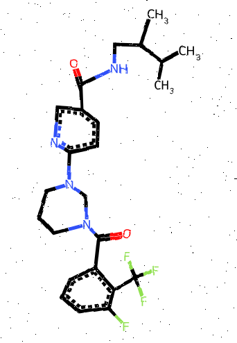 CC(C)C(C)CNC(=O)c1ccc(N2CCCN(C(=O)c3cccc(F)c3C(F)(F)F)C2)nc1